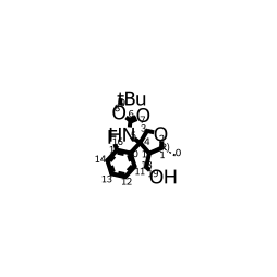 C[C@H]1OCC(NC(=O)OC(C)(C)C)(c2ccccc2F)C1CO